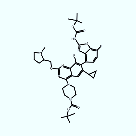 CN1CCCC1COc1nc(N2CCN(C(=O)OC(C)(C)C)CC2)c2cc(C3CC3)c(-c3ccc(F)c4sc(NC(=O)OC(C)(C)C)nc34)c(F)c2n1